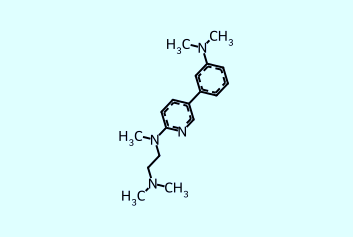 CN(C)CCN(C)c1ccc(-c2cccc(N(C)C)c2)cn1